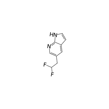 FC(F)Cc1cnc2[nH]ccc2c1